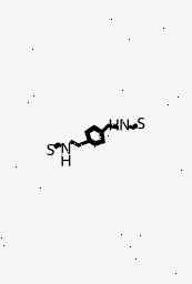 S=CNCCc1ccc(CCNC=S)cc1